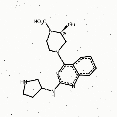 CC(C)(C)[C@H]1CN(c2nc(NC3CCNC3)nc3ccccc23)CCN1C(=O)O